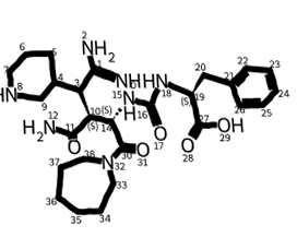 N=C(N)C(C1CCCNC1)[C@H](C(N)=O)[C@H](NC(=O)N[C@@H](Cc1ccccc1)C(=O)O)C(=O)N1CCCCCC1